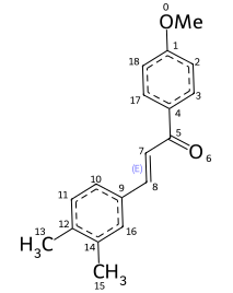 COc1ccc(C(=O)/C=C/c2ccc(C)c(C)c2)cc1